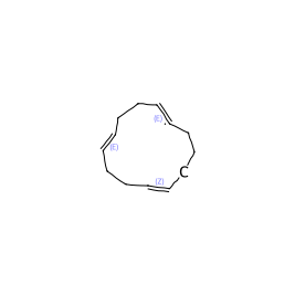 [C]1=C/CC/C=C/CC/C=C\CCC/1